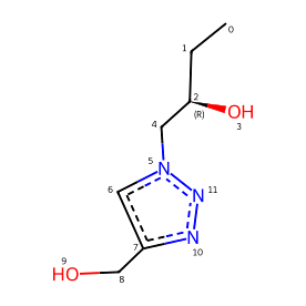 CC[C@@H](O)Cn1cc(CO)nn1